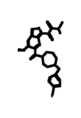 COc1cc2csc(C(=O)C(=O)N(C)C)c2nc1C(=O)N1CCCN(Cc2ccc(F)cc2)CC1